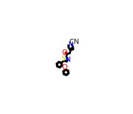 N#CN1CC2CC1CC2CC(=O)c1ncc(-c2ccccc2Oc2ccccc2)s1